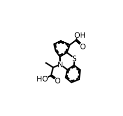 CC(C(=O)O)N1c2ccccc2Sc2c(C(=O)O)cccc21